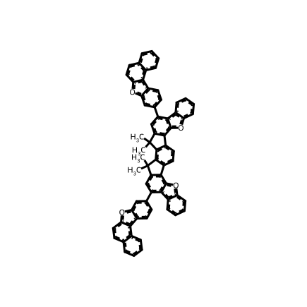 CC1(C)c2cc(-c3ccc4c(c3)oc3ccc5ccccc5c34)c3c(oc4ccccc43)c2-c2ccc3c(c21)C(C)(C)c1cc(-c2ccc4c(c2)oc2ccc5ccccc5c24)c2c(oc4ccccc42)c1-3